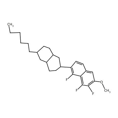 CCCCCCC1CCC2CC(c3ccc4cc(OC)c(F)c(F)c4c3F)CCC2C1